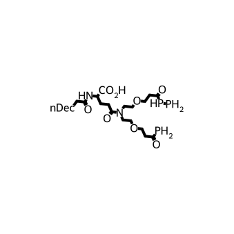 CCCCCCCCCCCC(=O)NC(CCC(=O)N(CCOCCC(=O)P)CCOCCC(=O)PP)C(=O)O